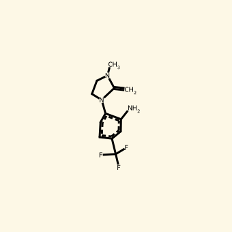 C=C1N(C)CCN1c1ccc(C(F)(F)F)cc1N